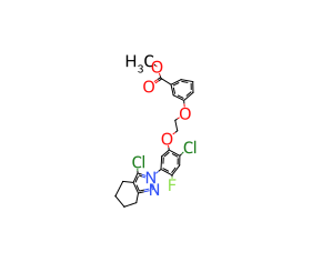 COC(=O)c1cccc(OCCOc2cc(-n3nc4c(c3Cl)CCCC4)c(F)cc2Cl)c1